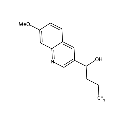 COc1ccc2cc(C(O)CCC(F)(F)F)cnc2c1